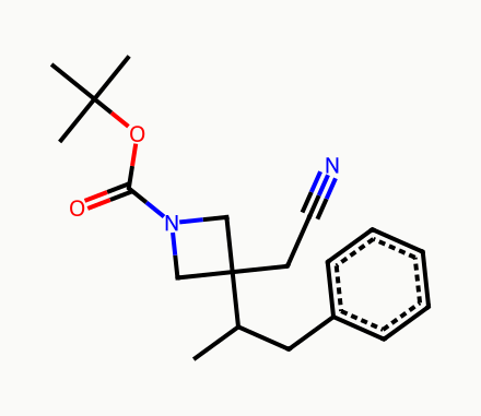 CC(Cc1ccccc1)C1(CC#N)CN(C(=O)OC(C)(C)C)C1